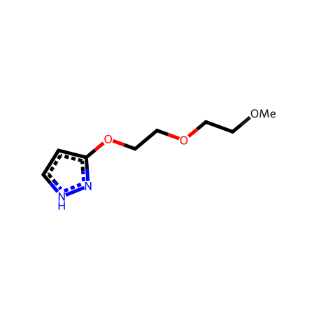 COCCOCCOc1cc[nH]n1